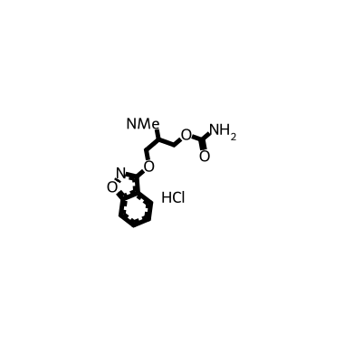 CNC(COC(N)=O)COc1noc2ccccc12.Cl